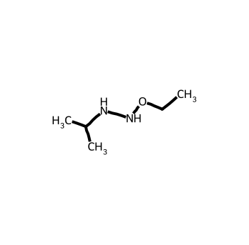 CCONNC(C)C